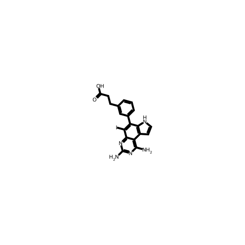 Nc1nc(N)c2c(n1)c(I)c(-c1cccc(CCC(=O)O)c1)c1[nH]ccc12